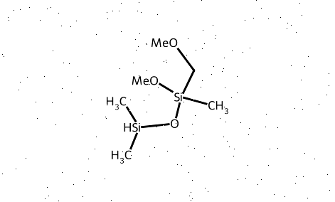 COC[Si](C)(OC)O[SiH](C)C